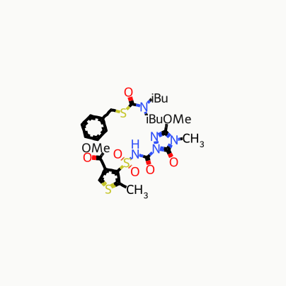 CCC(C)N(C(=O)SCc1ccccc1)C(C)CC.COC(=O)c1csc(C)c1S(=O)(=O)NC(=O)n1nc(OC)n(C)c1=O